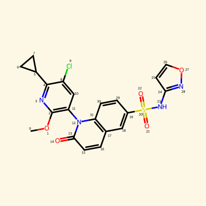 COc1nc(C2CC2)c(Cl)cc1-n1c(=O)ccc2cc(S(=O)(=O)Nc3ccon3)ccc21